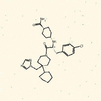 NC(=O)[C@H]1CC[C@H](N[C@H](Cc2ccc(Cl)cc2)C(=O)N2CCC(Cn3cncn3)(C3CCCCC3)CC2)CC1